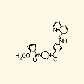 COc1ncccc1C(=O)N1CCN(C(=O)c2ccc(NSc3cccc4cccnc34)cc2)CC1